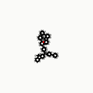 CC1(C)c2ccccc2-c2ccc(N(c3ccc(-c4ccccc4)cc3)c3ccc(-c4ccc(-c5ccccc5-n5c6ccccc6c6cccc(-c7ccccc7)c65)cc4)cc3)cc21